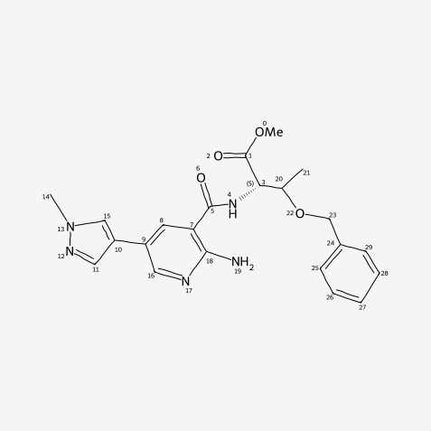 COC(=O)[C@@H](NC(=O)c1cc(-c2cnn(C)c2)cnc1N)C(C)OCc1ccccc1